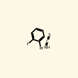 Fc1ccccc1Br.N=C=S